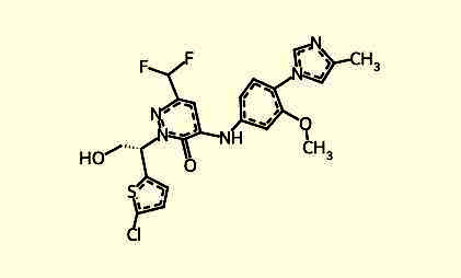 COc1cc(Nc2cc(C(F)F)nn([C@@H](CO)c3ccc(Cl)s3)c2=O)ccc1-n1cnc(C)c1